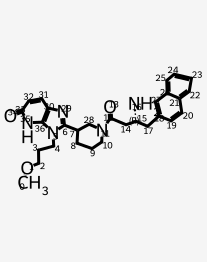 COCCCn1c(C2CCCN(C(=O)C[C@H](N)Cc3ccc4ccccc4c3)C2)nc2ccc(=O)[nH]c21